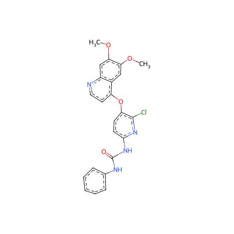 COc1cc2nccc(Oc3ccc(NC(=O)Nc4ccccc4)nc3Cl)c2cc1OC